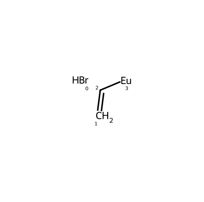 Br.C=[CH][Eu]